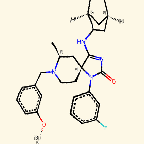 CC[C@@H](C)Oc1cccc(CN2CC[C@@]3(C[C@@H]2C)C(NC2C[C@@H]4CC[C@H]2C4)=NC(=O)N3c2cccc(F)c2)c1